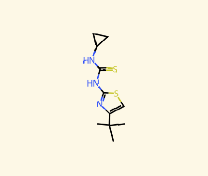 CC(C)(C)c1csc(NC(=S)NC2CC2)n1